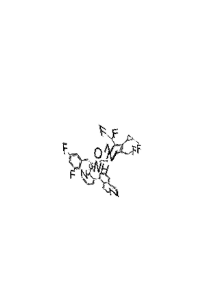 O=C(Cn1nc(C(F)F)c(C2CC2CF)c1CF)N[C@@H](Cc1cc(F)cc(F)c1)c1ncccc1-c1cccc2cnccc12